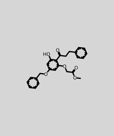 COC(=O)COc1cc(OCc2ccccc2)cc(O)c1C(=O)CCc1ccccc1